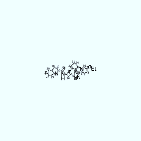 CCOc1ccc(-c2nnc(C3CC(NC(=O)c4ccc5cnccc5n4)C3)n2-c2ccccc2F)nc1